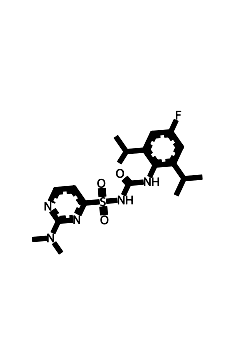 CC(C)c1cc(F)cc(C(C)C)c1NC(=O)NS(=O)(=O)c1ccnc(N(C)C)n1